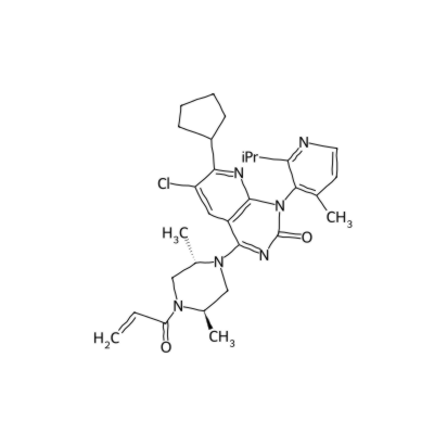 C=CC(=O)N1C[C@H](C)N(c2nc(=O)n(-c3c(C)ccnc3C(C)C)c3nc(C4CCCC4)c(Cl)cc23)C[C@H]1C